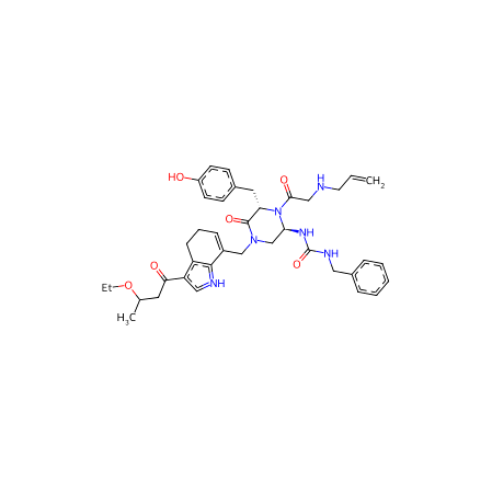 C=CCNCC(=O)N1[C@@H](NC(=O)NCc2ccccc2)CN(CC2=CCCc3c(C(=O)CC(C)OCC)c[nH]c32)C(=O)[C@@H]1Cc1ccc(O)cc1